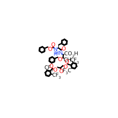 CC(OCc1ccccc1)[C@H](NC(=O)[C@H](Cc1ccccc1)NC(=O)OCc1ccccc1)C(=O)O.O=C(COC(=O)c1c(C(F)(F)F)cccc1C(F)(F)F)COC(=O)c1c(C(F)(F)F)cccc1C(F)(F)F